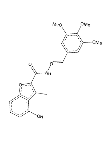 COc1cc(C=NNC(=O)c2oc3cccc(O)c3c2C)cc(OC)c1OC